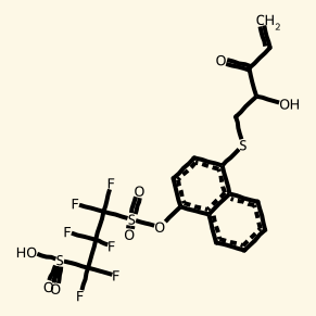 C=CC(=O)C(O)CSc1ccc(OS(=O)(=O)C(F)(F)C(F)(F)C(F)(F)S(=O)(=O)O)c2ccccc12